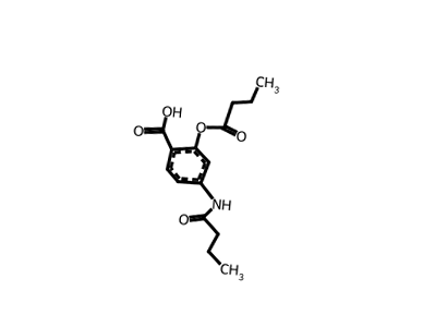 CCCC(=O)Nc1ccc(C(=O)O)c(OC(=O)CCC)c1